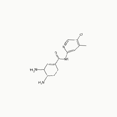 Cc1cc(NC(=O)C2=CC(N)C(N)CC2)ncc1Cl